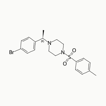 Cc1ccc(S(=O)(=O)N2CCN([C@H](C)c3ccc(Br)cc3)CC2)cc1